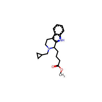 COC(=O)CCCC1c2[nH]c3ccccc3c2CCN1CC1CC1